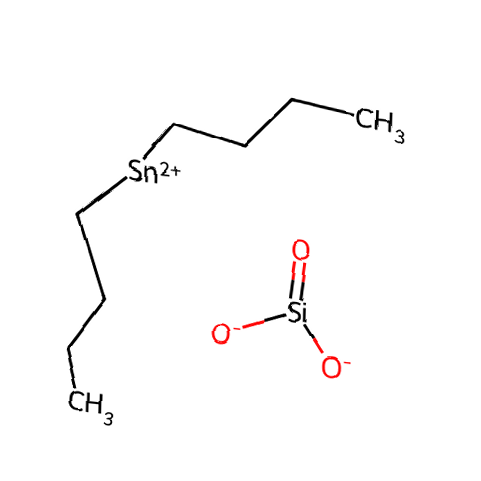 CCC[CH2][Sn+2][CH2]CCC.O=[Si]([O-])[O-]